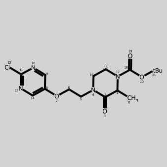 CC1C(=O)N(CCOc2cnc(Cl)nc2)CCN1C(=O)OC(C)(C)C